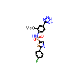 COc1cc(-c2nnn[nH]2)ccc1NS(=O)(=O)c1cnc(-c2ccc(F)cc2)s1